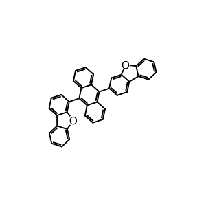 c1ccc2c(c1)oc1cc(-c3c4ccccc4c(-c4cccc5c4oc4ccccc45)c4ccccc34)ccc12